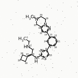 CCNCC(Nc1nc(-c2cccc(-c3cc4n(n3)CCN(C)C4)c2)cs1)=C1CCC1